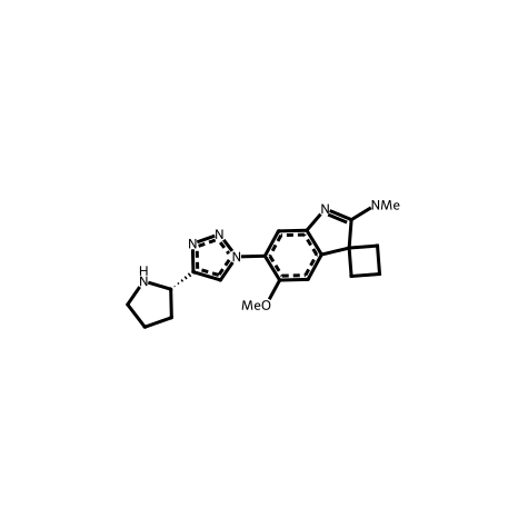 CNC1=Nc2cc(-n3cc([C@@H]4CCCN4)nn3)c(OC)cc2C12CCC2